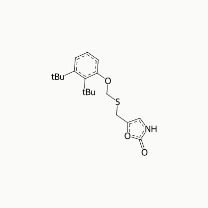 CC(C)(C)c1cccc(OCSCc2c[nH]c(=O)o2)c1C(C)(C)C